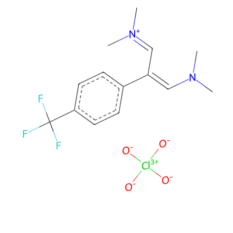 CN(C)/C=C(\C=[N+](C)C)c1ccc(C(F)(F)F)cc1.[O-][Cl+3]([O-])([O-])[O-]